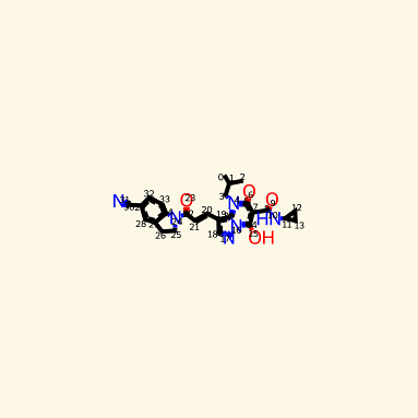 CC(C)Cn1c(=O)c(C(=O)NC2CC2)c(O)n2ncc(C=CC(=O)N3CCc4cc(C#N)ccc43)c12